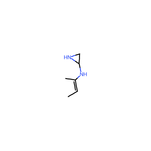 C/C=C(\C)NC1CN1